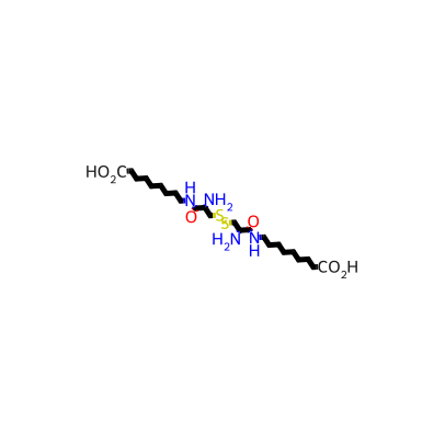 NC(CSSCC(N)C(=O)NCCCCCCCCC(=O)O)C(=O)NCCCCCCCCC(=O)O